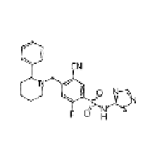 N#Cc1cc(S(=O)(=O)Nc2ncns2)c(F)cc1CN1CCCCC1c1ccccc1